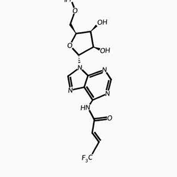 CC(C)OC[C@@H]1O[C@@H](n2cnc3c(NC(=O)/C=C/C(F)(F)F)ncnc32)[C@H](O)[C@@H]1O